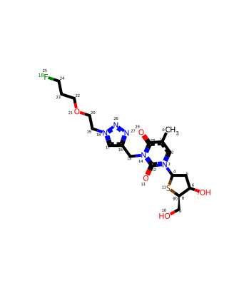 Cc1cn(C2CC(O)[C@@H](CO)S2)c(=O)n(Cc2cn(CCOCCC[18F])nn2)c1=O